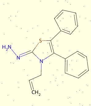 C=CCn1c(-c2ccccc2)c(-c2ccccc2)s/c1=N\N